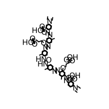 CCN(CC)c1ccc(N=Nc2cc(OCCCS(=O)(=O)O)c(N=Nc3ccc(NC(=O)Nc4ccc(N=Nc5cc(C)c(N=Nc6ccc(N(CC)CC)cc6S(=O)(=O)O)cc5OCCCS(=O)(=O)O)cc4C)c(C)c3)cc2C)c(S(=O)(=O)O)c1